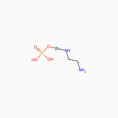 NCC[NH][Zn][O]P(=O)(O)O